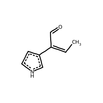 CC=C(C=O)c1cc[nH]c1